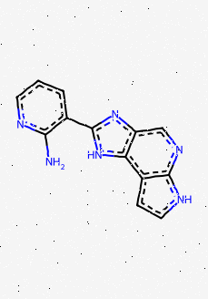 Nc1ncccc1-c1nc2cnc3[nH]ccc3c2[nH]1